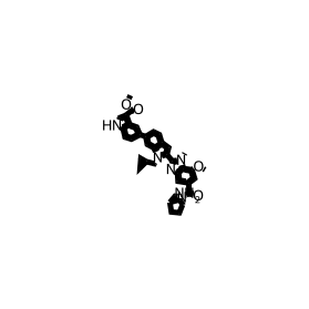 COC(=O)c1c[nH]c2ccc(-c3ccc4cc(-c5nc6cc(C(=O)N7CC8CCC7C8N)cc(OC)c6n5C)n(CC5CC5)c4c3)cc12